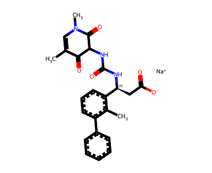 CC1=CN(C)C(=O)C(NC(=O)N[C@@H](CC(=O)[O-])c2cccc(-c3ccccc3)c2C)C1=O.[Na+]